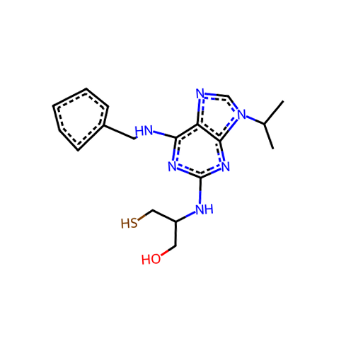 CC(C)n1cnc2c(NCc3ccccc3)nc(NC(CO)CS)nc21